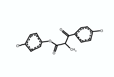 CC(C(=O)Oc1ccc(Cl)cc1)C(=O)c1ccc(Cl)cc1